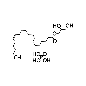 CCCCC/C=C\C/C=C\C/C=C\C/C=C\CCCC(=O)OCC(O)CO.O=P(O)(O)O